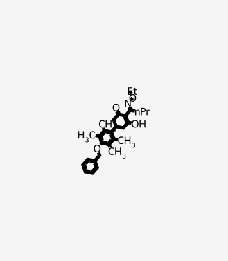 CCCC(=NOCC)C1=C(O)CC(c2c(C)c(C)c(OCc3ccccc3)c(C)c2C)CC1=O